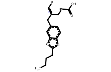 CCCCc1nc2ccc(C/C(=C/F)CNC(=O)O)cc2o1